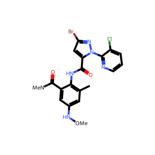 CNC(=O)c1cc(NOC)cc(C)c1NC(=O)c1cc(Br)nn1-c1ncccc1Cl